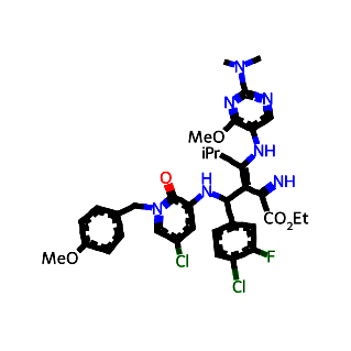 CCOC(=O)C(=N)/C(=C(\Nc1cnc(N(C)C)nc1OC)C(C)C)C(Nc1cc(Cl)cn(Cc2ccc(OC)cc2)c1=O)c1ccc(Cl)c(F)c1